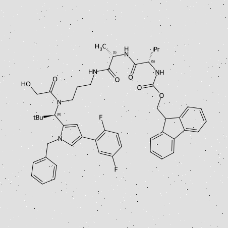 CC(C)[C@H](NC(=O)OCC1c2ccccc2-c2ccccc21)C(=O)N[C@@H](C)C(=O)NCCCN(C(=O)CO)[C@@H](c1cc(-c2cc(F)ccc2F)cn1Cc1ccccc1)C(C)(C)C